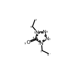 [CH2]Cn1nnn(CC)c1=O